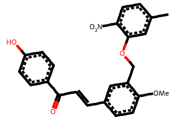 COc1ccc(/C=C/C(=O)c2ccc(O)cc2)cc1COc1cc(C)ccc1[N+](=O)[O-]